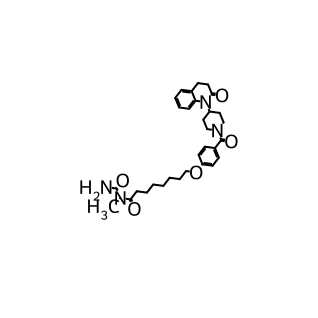 CN(C(N)=O)C(=O)CCCCCCCOc1ccc(C(=O)N2CCC(N3C(=O)CCc4ccccc43)CC2)cc1